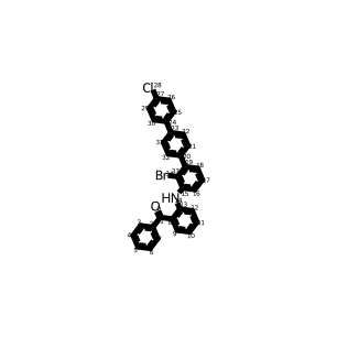 O=C(c1ccccc1)c1ccccc1Nc1cccc(-c2ccc(-c3ccc(Cl)cc3)cc2)c1Br